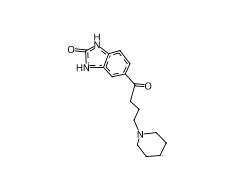 O=C(CCCN1CC[CH]CC1)c1ccc2[nH]c(=O)[nH]c2c1